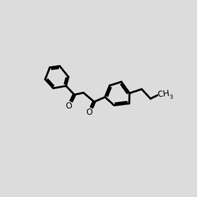 CCCc1ccc(C(=O)CC(=O)c2ccccc2)cc1